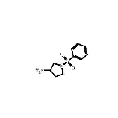 NC1C[CH]N(S(=O)(=O)c2ccccc2)C1